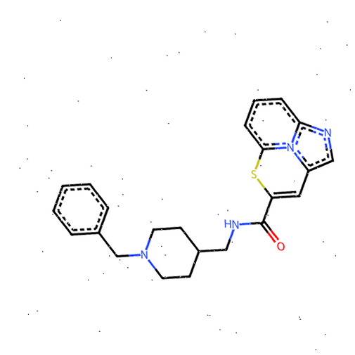 O=C(NCC1CCN(Cc2ccccc2)CC1)C1=Cc2cnc3cccc(n23)S1